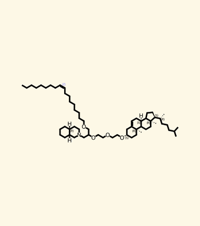 CCCCCCCC/C=C\CCCCCCCCOCC(CN1CC[C@H]2CCCC[C@H]2C1)OCCOCCO[C@H]1CC[C@@]2(C)C(=CC[C@@H]3C2CC[C@@]2(C)C3CC[C@H]2[C@H](C)CCCC(C)C)C1